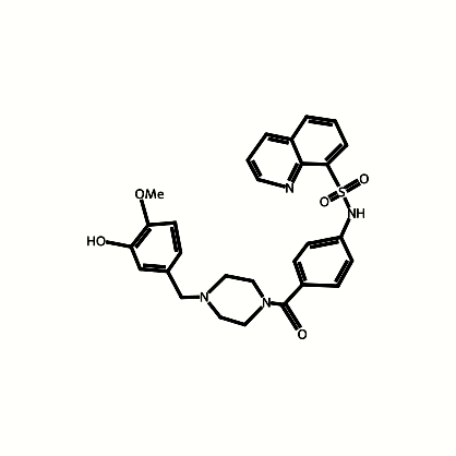 COc1ccc(CN2CCN(C(=O)c3ccc(NS(=O)(=O)c4cccc5cccnc45)cc3)CC2)cc1O